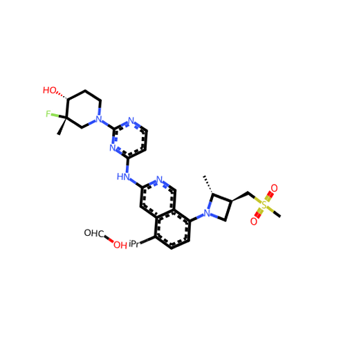 CC(C)c1ccc(N2C[C@H](CS(C)(=O)=O)[C@H]2C)c2cnc(Nc3ccnc(N4CC[C@@H](O)[C@@](C)(F)C4)n3)cc12.O=CO